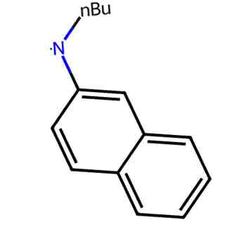 CCCC[N]c1ccc2ccccc2c1